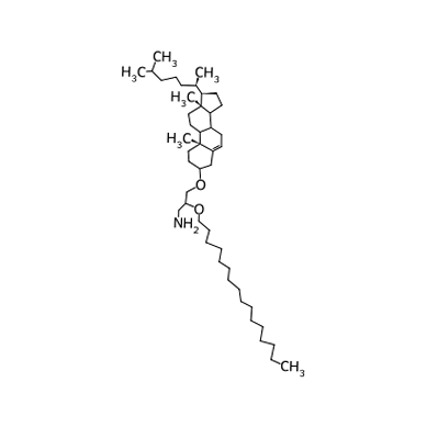 CCCCCCCCCCCCCCCCOC(CN)COC1CC[C@@]2(C)C(=CCC3C2CC[C@@]2(C)C3CC[C@@H]2[C@H](C)CCCC(C)C)C1